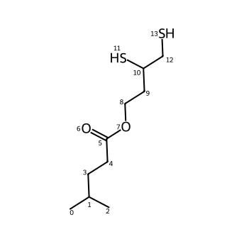 CC(C)CCC(=O)OCCC(S)CS